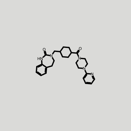 O=C1Nc2ccccc2CCN1CC1CCC(C(=O)N2CCN(c3ccccn3)CC2)CC1